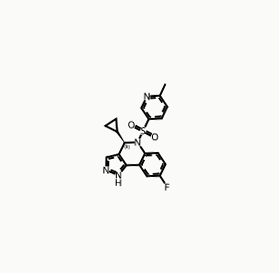 Cc1ccc(S(=O)(=O)N2c3ccc(F)cc3-c3[nH]ncc3[C@H]2C2CC2)cn1